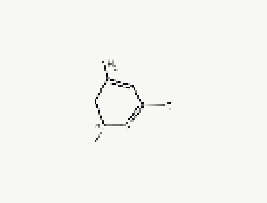 C[C@@H]1CC(N)=CC(Cl)=N1